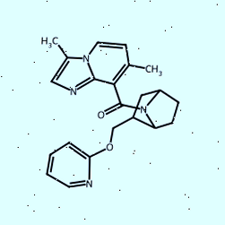 Cc1ccn2c(C)cnc2c1C(=O)N1C2CCC1C(COc1ccccn1)C2